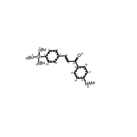 CCC[CH2][Sn]([CH2]CCC)([CH2]CCC)[c]1ccc(/C=C/C(=O)c2ccc(NC)cc2)cc1